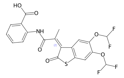 C/C(C(=O)Nc1ccccc1C(=O)O)=C1/C(=O)Sc2cc(OC(F)F)c(OC(F)F)cc21